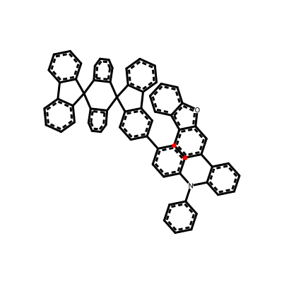 c1ccc(N(c2ccc(-c3ccc4c(c3)-c3ccccc3C43c4ccccc4C4(c5ccccc5-c5ccccc54)c4ccccc43)cc2)c2ccccc2-c2ccc3c(c2)oc2ccccc23)cc1